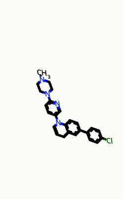 CN1CCN(c2ccc(N3C=CCc4cc(-c5ccc(Cl)cc5)ccc43)cn2)CC1